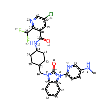 CNc1ccc(-n2c(=O)n(CC3CCC(NC(=O)c4cc(Cl)cnc4C(F)F)CC3)c3ccccc32)nc1